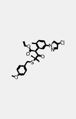 C=COC(=O)C(C(=O)C(C)(C)SCc1ccc(OC)cc1)c1cc(-n2cc(Cl)cn2)ccc1C